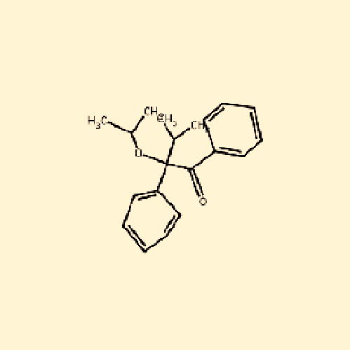 CC(C)OC(C(=O)c1ccccc1)(c1ccccc1)C(C)C